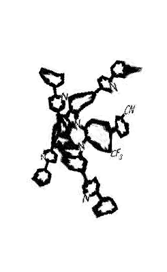 N#Cc1cccc(-c2cc(-n3c4cc(-c5ccc(-c6ccccc6)nc5)ccc4c4ccc(-c5ccc(-c6ccccc6)nc5)cc43)c(-n3c4cc(-c5ccc(-c6ccccc6)nc5)ccc4c4ccc(-c5ccc(-c6ccccc6)nc5)cc43)cc2C(F)(F)F)c1